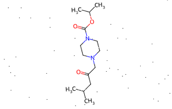 CC(C)CC(=O)CN1CCN(C(=O)OC(C)C)CC1